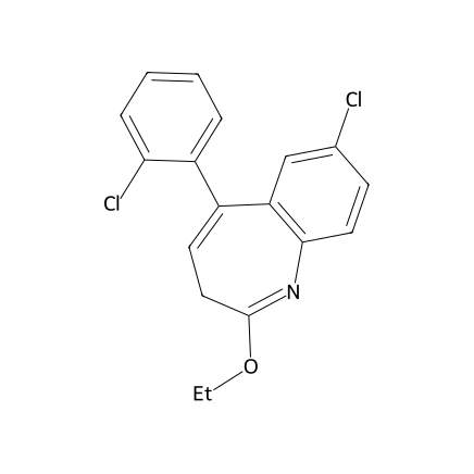 CCOC1=Nc2ccc(Cl)cc2C(c2ccccc2Cl)=CC1